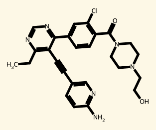 CCc1ncnc(-c2ccc(C(=O)N3CCN(CCO)CC3)c(Cl)c2)c1C#Cc1ccc(N)nc1